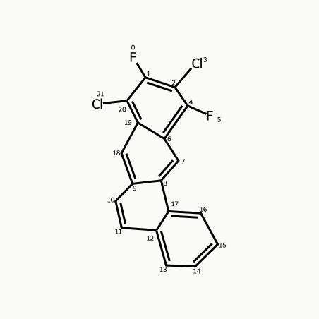 Fc1c(Cl)c(F)c2cc3c(ccc4ccccc43)cc2c1Cl